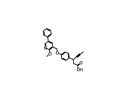 CC#CC(CC(=O)O)c1ccc(OCc2cc(-c3ccccc3)cnc2OC)cc1